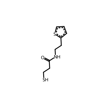 O=C(CCS)NCCc1cccs1